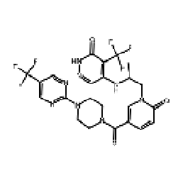 C[C@@H](Cn1cc(C(=O)N2CCN(c3ncc(C(F)(F)F)cn3)CC2)ccc1=O)Nc1cn[nH]c(=O)c1C(F)(F)F